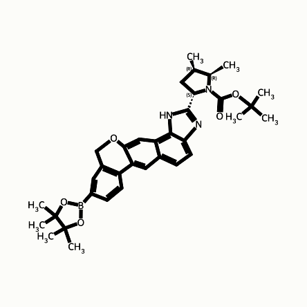 C[C@@H]1C[C@@H](c2nc3ccc4cc5c(cc4c3[nH]2)OCc2cc(B3OC(C)(C)C(C)(C)O3)ccc2-5)N(C(=O)OC(C)(C)C)[C@@H]1C